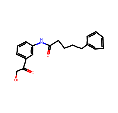 O=C(CCCCc1ccccc1)Nc1cccc(C(=O)CO)c1